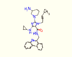 CC#CCn1c(N2CCCC(N)C2)nc(NC2CC2)c1C(=O)NCc1nc2ccccc2c2ccccc12